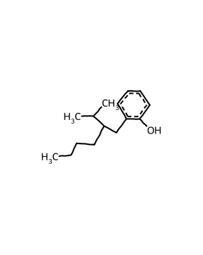 CCCCC(Cc1ccccc1O)C(C)C